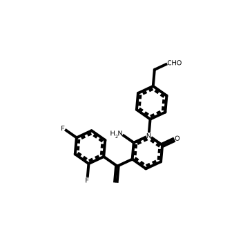 C=C(c1ccc(F)cc1F)c1ccc(=O)n(-c2ccc(CC=O)cc2)c1N